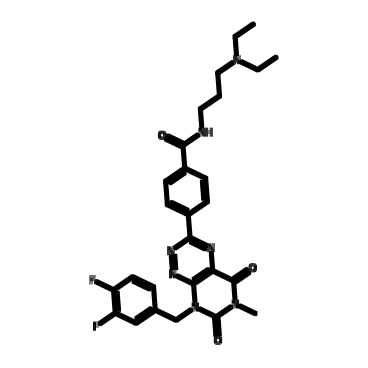 CCN(CC)CCCNC(=O)c1ccc(-c2nnc3c(n2)c(=O)n(C)c(=O)n3Cc2ccc(F)c(F)c2)cc1